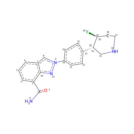 NC(=O)c1cccc2cn(-c3ccc([C@H]4CNCC[C@@H]4F)cc3)nc12